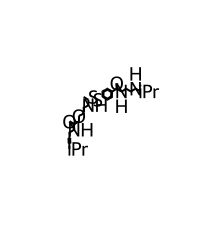 CC(C)C#CCNC(=O)COCCNC(C)SSc1ccc(C(=O)NCCNC(C)C)cc1